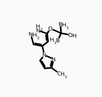 BC(B)(O)O/C(N)=C/C(=C\N)n1ccc(C)n1